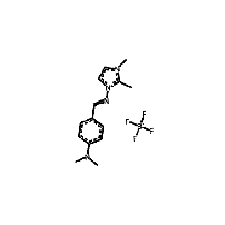 Cc1n(C)cc[n+]1/N=C/c1ccc(N(C)C)cc1.F[B-](F)(F)F